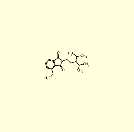 CCc1cccc2c1C(=O)N(CCN(C(C)C)C(C)C)C2=O